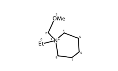 CC[N+]1(COC)CCCCC1